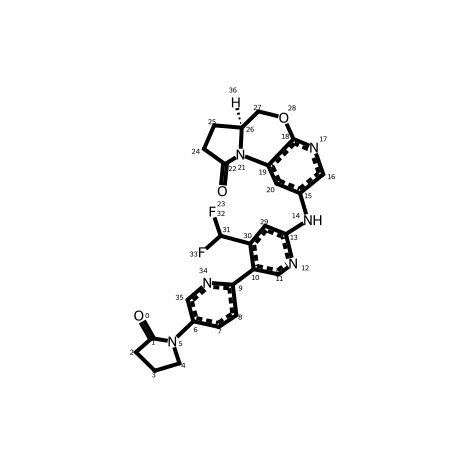 O=C1CCCN1c1ccc(-c2cnc(Nc3cnc4c(c3)N3C(=O)CC[C@H]3CO4)cc2C(F)F)nc1